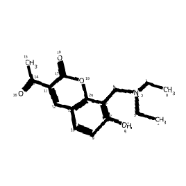 CCN(CC)Cc1c(O)ccc2cc(C(C)=O)c(=O)oc12